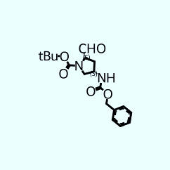 CC(C)(C)OC(=O)N1C[C@@H](NC(=O)OCc2ccccc2)C[C@H]1C=O